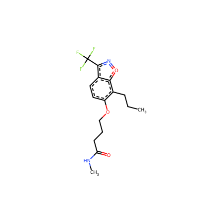 CCCc1c(OCCCC(=O)NC)ccc2c(C(F)(F)F)noc12